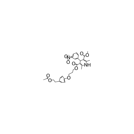 COC(=O)C1=C(C)NC(C)=C(C(=O)OCCCOc2ccc(CCOC(C)=O)cc2)C1c1cccc([N+](=O)[O-])c1